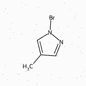 Cc1[c]nn(Br)c1